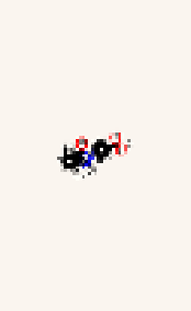 COC(=O)c1ccc(-n2c(=O)c3c(n2C)[C@]2(C)CC[C@H]3C2(C)C)cc1